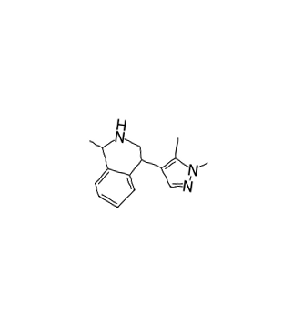 Cc1c(C2CNC(C)c3ccccc32)cnn1C